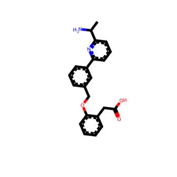 CC(N)c1cccc(-c2cccc(COc3ccccc3CC(=O)O)c2)n1